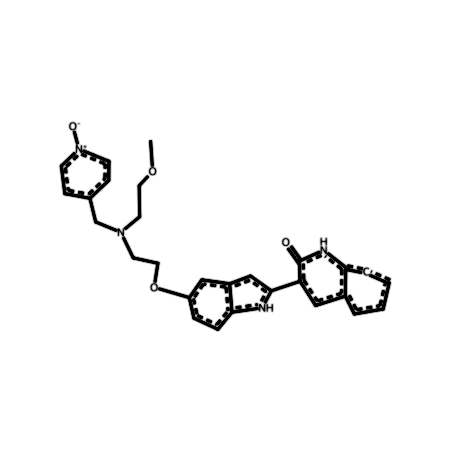 COCCN(CCOc1ccc2[nH]c(-c3cc4ccccc4[nH]c3=O)cc2c1)Cc1cc[n+]([O-])cc1